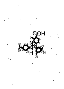 Cc1c(C(=O)O)ccc2c1nc(Nc1ccc(C(C)C)cc1)n2C1CC(C)CC(C)(C)C1